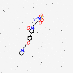 CS(=O)(=O)NC(=O)CCCn1ccc(-c2ccc(OCCCN3CCCCC3)cc2)cc1=O